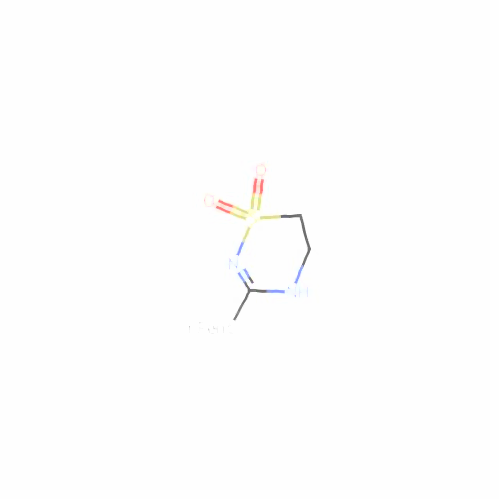 CCCCCC1=NS(=O)(=O)CCN1